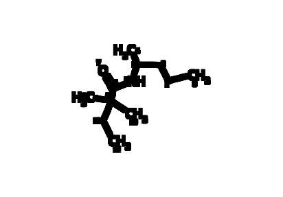 CCCC(C)NC(=O)C(C)(C)CC